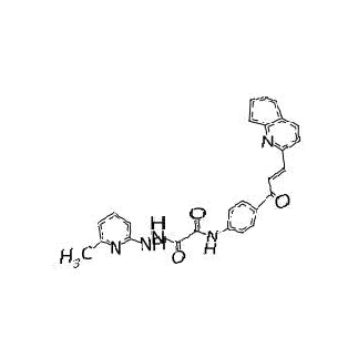 Cc1cccc(NNC(=O)C(=O)Nc2ccc(C(=O)C=Cc3ccc4ccccc4n3)cc2)n1